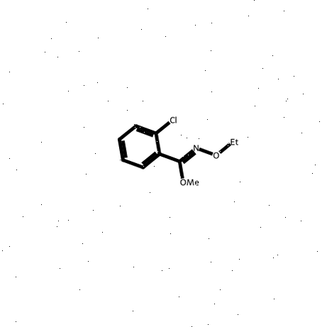 CCON=C(OC)c1c[c]ccc1Cl